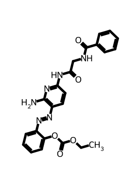 CCOC(=O)Oc1ccccc1/N=N/c1ccc(NC(=O)CNC(=O)c2ccccc2)nc1N